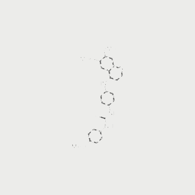 COc1ccc(NC(=O)Nc2ccc(Nc3ccnc4cc(OC)c(OC)cc34)cc2)cc1